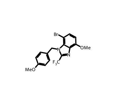 COc1ccc(Cn2c(C(F)(F)F)nc3c(OC)ccc(Br)c32)cc1